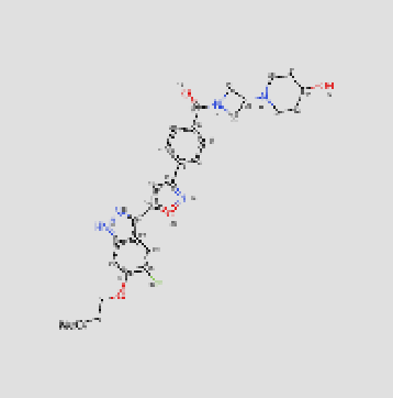 COCCOc1cc2[nH]nc(-c3cc(-c4ccc(C(=O)N5CC(N6CCC(O)CC6)C5)cc4)no3)c2cc1F